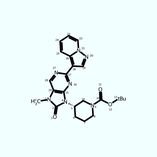 Cn1c(=O)n([C@H]2CCCN(C(=O)OC(C)(C)C)C2)c2nc(-c3cnn4ccccc34)ncc21